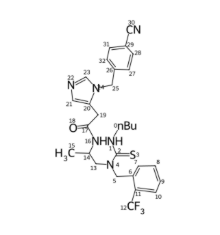 CCCCNC(=S)N(Cc1ccccc1C(F)(F)F)CC(C)NC(=O)Cc1cncn1Cc1ccc(C#N)cc1